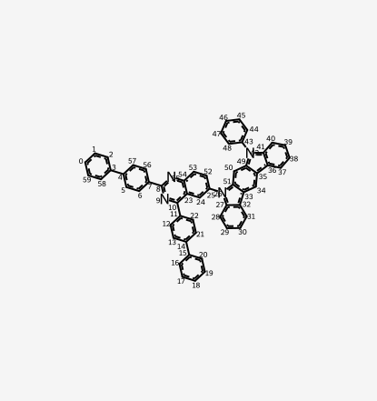 c1ccc(-c2ccc(-c3nc(-c4ccc(-c5ccccc5)cc4)c4cc(-n5c6ccccc6c6cc7c8ccccc8n(-c8ccccc8)c7cc65)ccc4n3)cc2)cc1